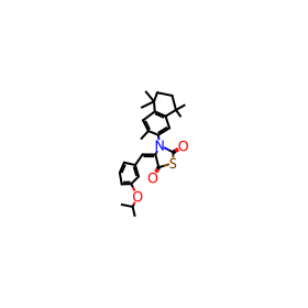 Cc1cc2c(cc1N1C(=O)SC(=O)C1=Cc1cccc(OC(C)C)c1)C(C)(C)CCC2(C)C